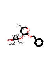 CO[C@@](C)(O[C@H]1C[C@H](C#N)CO[C@H]1OCc1ccccc1)[C@](C)(O)OC